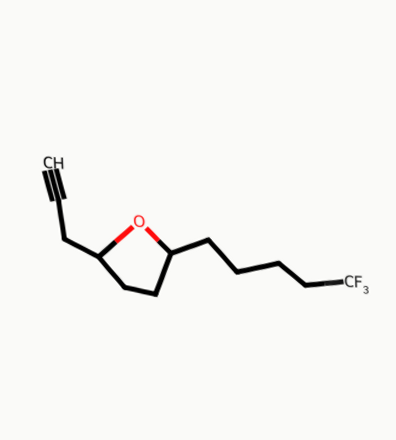 C#CCC1CCC(CCCCC(F)(F)F)O1